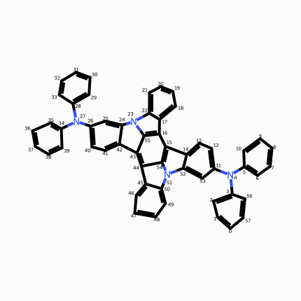 c1ccc(N(c2ccccc2)c2ccc3c4c5c6ccccc6n6c7cc(N(c8ccccc8)c8ccccc8)ccc7c(c7c8ccccc8n(c3c2)c74)c56)cc1